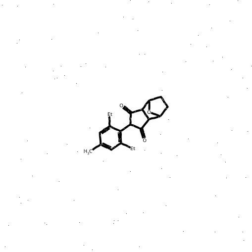 CCc1cc(C)cc(CC)c1C1C(=O)C2C3CCC(O3)C2C1=O